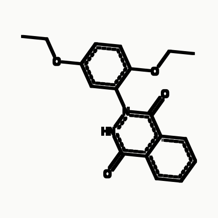 CCOc1ccc(OCC)c(-n2[nH]c(=O)c3ccccc3c2=O)c1